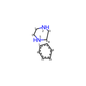 C1CNCCN1.[c]1ccccc1